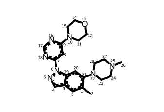 Cc1cc2cnn(-c3cc(N4CCOCC4)ncn3)c2cc1N1CCN(C)CC1